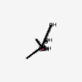 CCCCCCCCCCCCCCCCCC(=O)O[C@](CO)(C(CCCCCCCCC)CCCCCCC(CCCCCCCCCCCCCCCCO)C(=O)O)[C@H]1OC[C@H](O)[C@H]1O